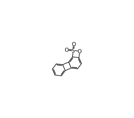 O=S1(=O)Oc2ccc3c(c21)-c1ccccc1-3